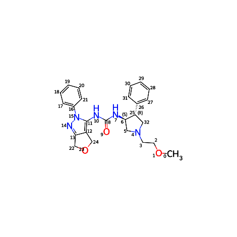 COCCN1C[C@@H](NC(=O)Nc2c3c(nn2-c2ccccc2)COC3)[C@H](c2ccccc2)C1